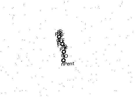 CCCCCc1ccc(C(=O)Oc2ccc(C(F)(F)Oc3cc(F)c(C(F)(F)Oc4cc(F)c(S(F)(F)(F)(F)F)c(F)c4)c(F)c3)c(F)c2)cc1